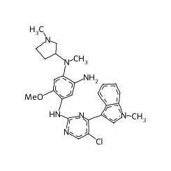 COc1cc(N(C)C2CCN(C)C2)c(N)cc1Nc1ncc(Cl)c(-c2cn(C)c3ccccc23)n1